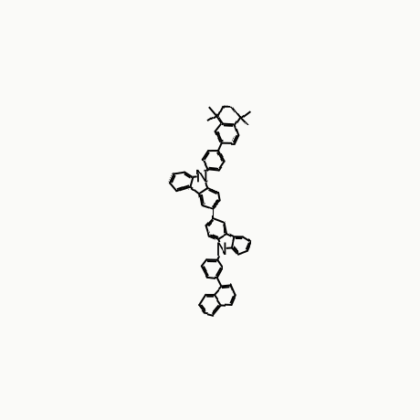 CC1(C)CCC(C)(C)c2cc(-c3ccc(-n4c5ccccc5c5cc(-c6ccc7c(c6)c6ccccc6n7-c6cccc(-c7cccc8ccccc78)c6)ccc54)cc3)ccc21